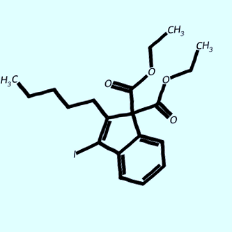 CCCCCC1=C(I)c2ccccc2C1(C(=O)OCC)C(=O)OCC